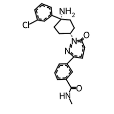 CNC(=O)c1cccc(-c2ccc(=O)n([C@H]3CC[C@](N)(c4cccc(Cl)c4)CC3)n2)c1